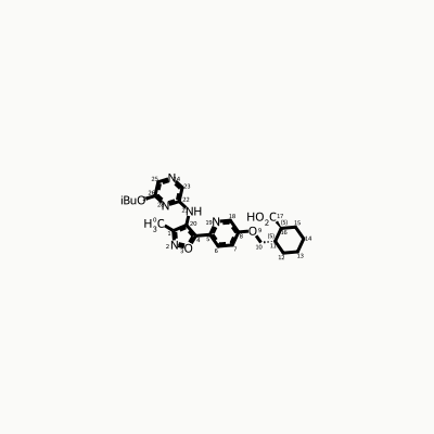 Cc1noc(-c2ccc(OC[C@H]3CCCC[C@@H]3C(=O)O)cn2)c1Nc1cncc(OCC(C)C)n1